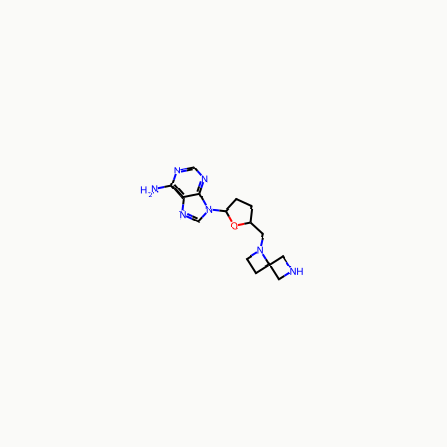 Nc1ncnc2c1ncn2C1CCC(CN2CCC23CNC3)O1